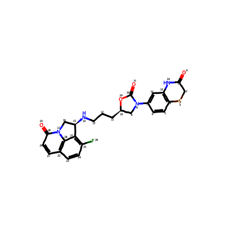 O=C1CSc2ccc(N3C[C@@H](CCCN[C@@H]4Cn5c(=O)ccc6ccc(F)c4c65)OC3=O)cc2N1